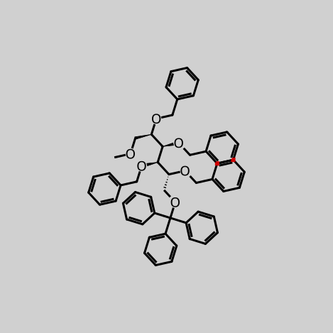 COC[C@@H](OCc1ccccc1)[C@@H](OCc1ccccc1)[C@H](OCc1ccccc1)[C@@H](COC(c1ccccc1)(c1ccccc1)c1ccccc1)OCc1ccccc1